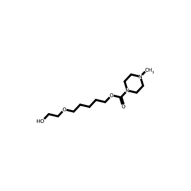 CN1CCN(C(=O)OCCCCCOCCO)CC1